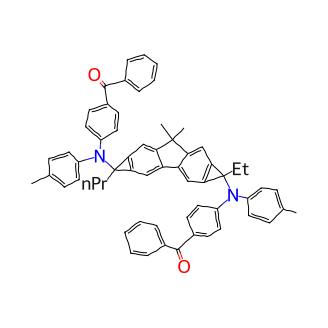 CCCC1(N(c2ccc(C)cc2)c2ccc(C(=O)c3ccccc3)cc2)c2cc3c(cc21)C(C)(C)c1cc2c(cc1-3)C2(CC)N(c1ccc(C)cc1)c1ccc(C(=O)c2ccccc2)cc1